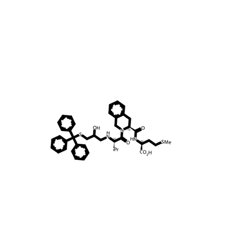 CSCC[C@H](NC(=O)[C@@H]1Cc2ccccc2CN1C(=O)[C@@H](NCC(O)CSC(c1ccccc1)(c1ccccc1)c1ccccc1)C(C)C)C(=O)O